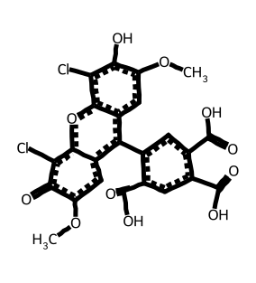 COc1cc2c(-c3cc(C(=O)O)c(C(=O)O)cc3C(=O)O)c3cc(OC)c(=O)c(Cl)c-3oc2c(Cl)c1O